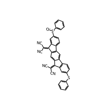 N#CC(C#N)=C1c2cc(Sc3ccccc3)ccc2-c2cc3c(cc21)C(=C(C#N)C#N)c1cc([S+]([O-])c2ccccc2)ccc1-3